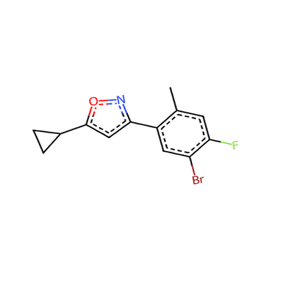 Cc1cc(F)c(Br)cc1-c1cc(C2CC2)on1